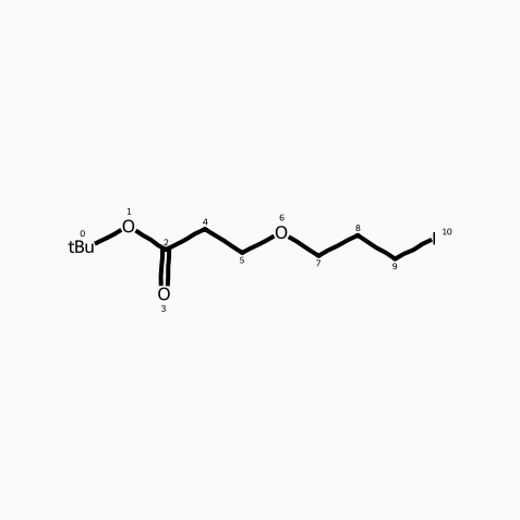 CC(C)(C)OC(=O)CCOCCCI